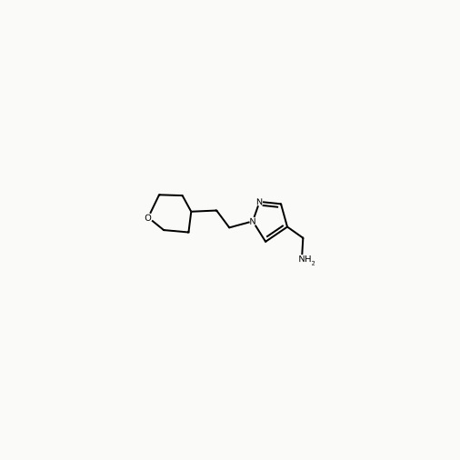 NCc1cnn(CCC2CCOCC2)c1